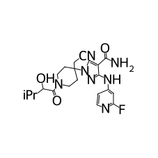 CC(C)C(O)C(=O)N1CCC(CC#N)(n2cc(C(N)=O)c(Nc3ccnc(F)c3)n2)CC1